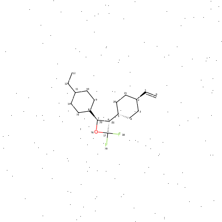 C=C[C@H]1CC[C@H]([C@H]2[C@H](C3CCC(CC)CC3)OC2(F)F)CC1